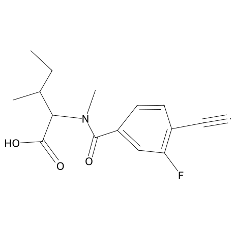 [C]#Cc1ccc(C(=O)N(C)C(C(=O)O)C(C)CC)cc1F